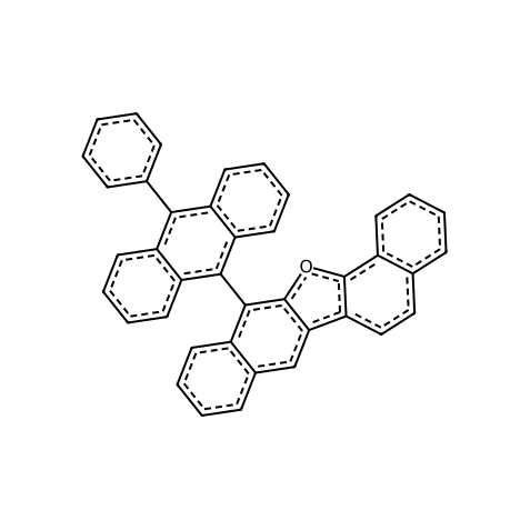 c1ccc(-c2c3ccccc3c(-c3c4ccccc4cc4c3oc3c5ccccc5ccc43)c3ccccc23)cc1